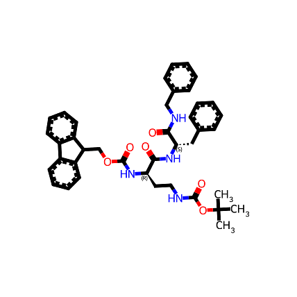 CC(C)(C)OC(=O)NCC[C@@H](NC(=O)OCC1c2ccccc2-c2ccccc21)C(=O)N[C@@H](Cc1ccccc1)C(=O)NCc1ccccc1